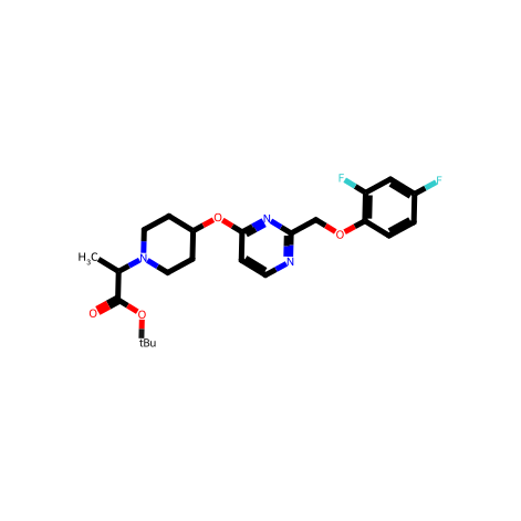 CC(C(=O)OC(C)(C)C)N1CCC(Oc2ccnc(COc3ccc(F)cc3F)n2)CC1